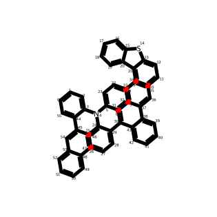 c1ccc(N(c2ccc(-c3cccc4sc5ccccc5c34)cc2)c2ccccc2-c2cc3ccccc3c3ccccc23)c(-c2ccc3ccccc3c2)c1